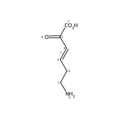 NCC/C=C/C(=O)C(=O)O